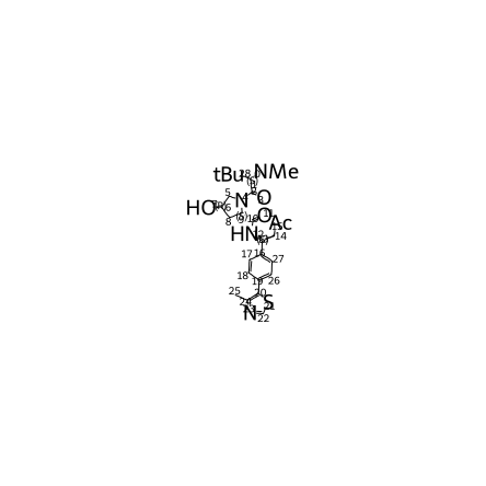 CN[C@H](C(=O)N1C[C@H](O)C[C@H]1C(=O)N[C@@H](CC(C)=O)c1ccc(-c2scnc2C)cc1)C(C)(C)C